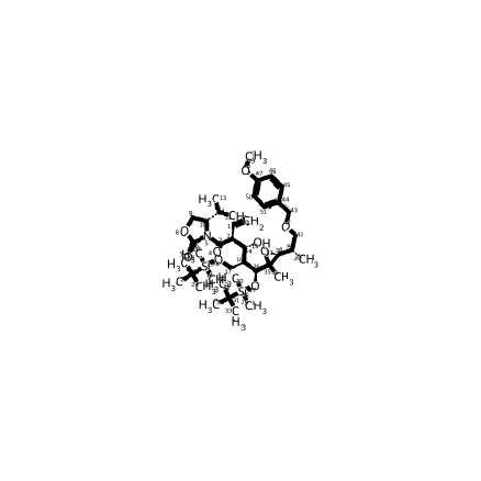 C=C[C@H](C(=O)N1C(=O)OC[C@@H]1C(C)C)[C@H](O)[C@H](CO[Si](C)(C)C(C)(C)C)[C@H](O[Si](C)(C)C(C)(C)C)C1(C)O[C@@H]1[C@@H](C)COCc1ccc(OC)cc1